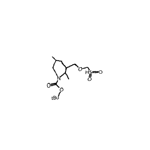 CC1CC(COC[SH](=O)=O)C(C)N(C(=O)OC(C)(C)C)C1